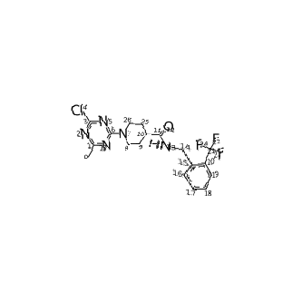 Cc1nc(Cl)nc(N2CCC(C(=O)NCc3ccccc3C(F)(F)F)CC2)n1